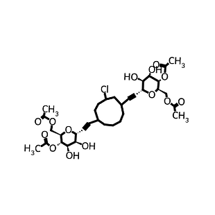 CC(=O)OC[C@H]1O[C@H](C#CC2CCCCC(C#C[C@H]3O[C@H](COC(C)=O)[C@@H](OC(C)=O)[C@H](O)[C@@H]3O)CC(Cl)CC2)[C@@H](O)[C@@H](O)[C@@H]1OC(C)=O